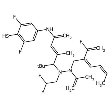 C=C(/C=C(\C)C(N(CC(F)F)N(C/C(=C/C=C\C)C(=C)F)C(=C)C)C(C)(C)C)Nc1cc(F)c(S)c(F)c1